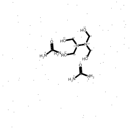 NC(N)=O.NC(N)=O.OCN(CO)N(CO)CO